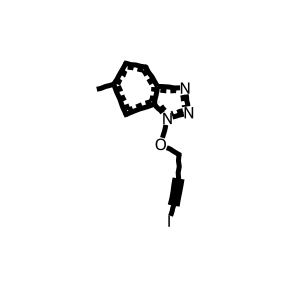 Cc1ccc2nnn(OCC#CI)c2c1